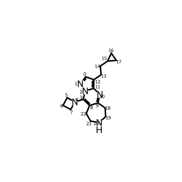 c1nn2c(N3CCC3)c3c(nc2c1CCC1CC1)CCNCC3